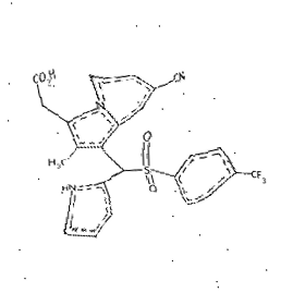 Cc1c(C(c2ccc[nH]2)S(=O)(=O)c2ccc(C(F)(F)F)cc2)c2cc(C#N)ccn2c1CC(=O)O